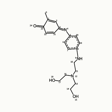 CC1=CC(=Nc2ccc(NCCN(CCO)CCO)cc2)C=CC1=O